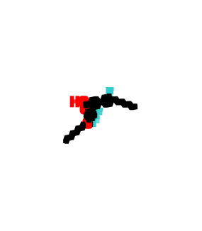 CCCCCCCCOc1ccc(-c2cc(-c3ccc(CCCCCCC)c(F)c3)ccc2C(=O)O)c(F)c1F